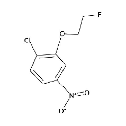 O=[N+]([O-])c1ccc(Cl)c(OCCF)c1